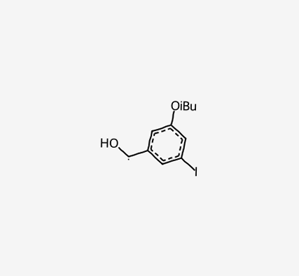 CC(C)COc1cc(I)cc([CH]O)c1